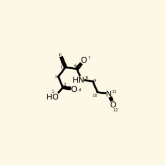 C=C(CC(=O)O)C(=O)NCCN=O